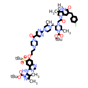 Cc1nn(C(=O)OC(C)(C)C)c(Nc2ncnc3cc(OCCCN4CCN(C(=O)c5cnc(N6CCN(C[C@H]7CN(C(=O)OC(C)(C)C)[C@H](C)CN7CC(=O)N7CC(C)(C)c8[nH]c(=O)c(Cc9ccc(F)cc9)cc87)[C@H](C)C6)nc5)CC4)c(S(=O)(=O)C(C)(C)C)cc23)c1C